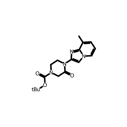 Cc1cccn2cc(N3CCN(C(=O)OC(C)(C)C)CC3=O)nc12